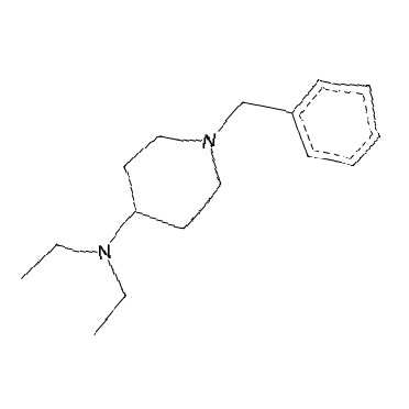 CCN(CC)C1CCN(Cc2ccccc2)CC1